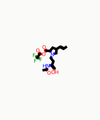 CC=CC1CC(C(=O)OC(=O)C(F)(F)F)N(CCC(=CO)NC(C)=O)C1